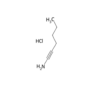 CCCCC#CN.Cl